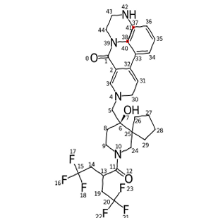 O=C(C1=CN(C[C@@]2(O)CCN(C(=O)C(CC(F)(F)F)CC(F)(F)F)CC23CCCC3)CC=C1c1ccccc1)N1CCNCC1